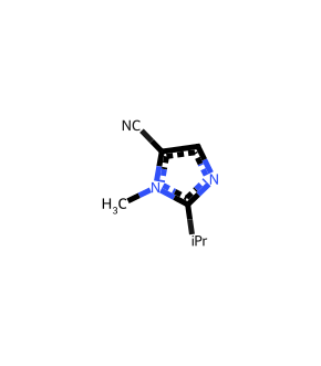 CC(C)c1ncc(C#N)n1C